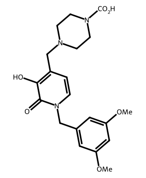 COc1cc(Cn2ccc(CN3CCN(C(=O)O)CC3)c(O)c2=O)cc(OC)c1